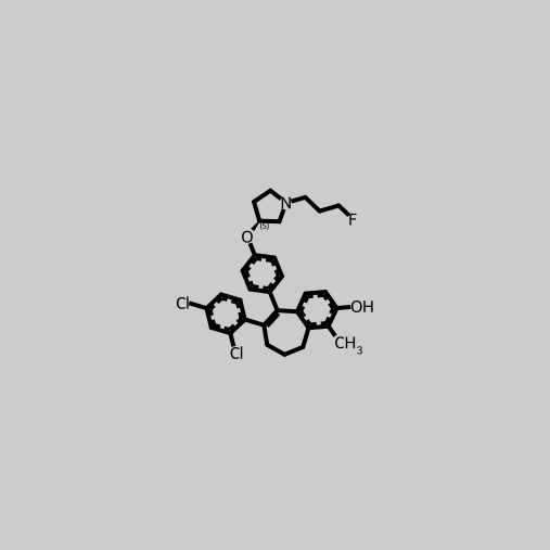 Cc1c(O)ccc2c1CCCC(c1ccc(Cl)cc1Cl)=C2c1ccc(O[C@H]2CCN(CCCF)C2)cc1